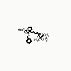 CC(C)(C)OC(=O)N1CCCC1(CCCCB1OC(C)(C)C(C)(C)O1)C(=O)OCc1ccccc1